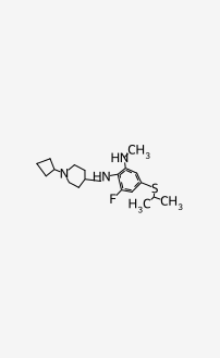 CNc1cc(SC(C)C)cc(F)c1NCC1CCN(C2CCC2)CC1